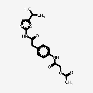 CC(=O)OCC(=O)Nc1ccc(CC(=O)Nc2ncc(C(C)C)s2)cc1